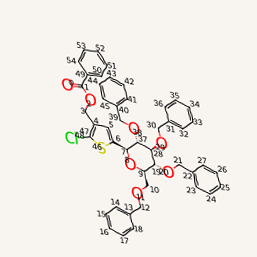 O=C(OCc1cc([C@@H]2O[C@H](COCc3ccccc3)[C@@H](OCc3ccccc3)[C@H](OCc3ccccc3)[C@H]2OCc2ccccc2)sc1Cl)c1ccccc1